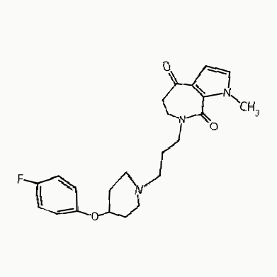 Cn1ccc2c1C(=O)N(CCCN1CCC(Oc3ccc(F)cc3)CC1)CCC2=O